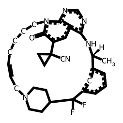 C[C@H]1Nc2ncnc3c2cc(C2(C#N)CC2)c(=O)n3CCCC/C=C\CN2CCC(CC2)C(F)(F)c2cccc1c2